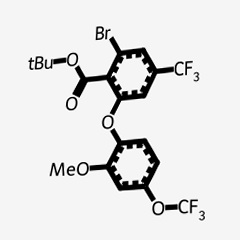 COc1cc(OC(F)(F)F)ccc1Oc1cc(C(F)(F)F)cc(Br)c1C(=O)OC(C)(C)C